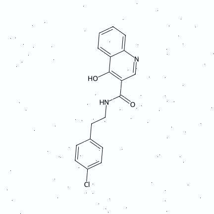 O=C(NCCc1ccc(Cl)cc1)c1cnc2ccccc2c1O